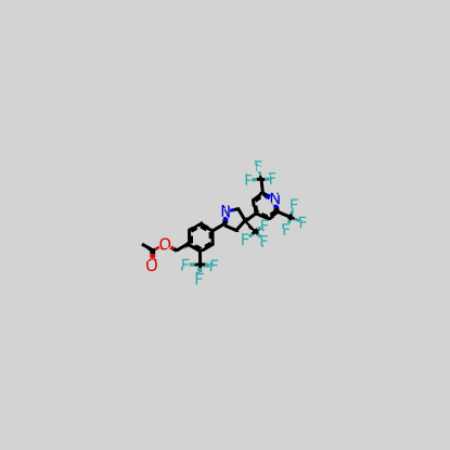 CC(=O)OCc1ccc(C2=NCC(c3cc(C(F)(F)F)nc(C(F)(F)F)c3)(C(F)(F)F)C2)cc1C(F)(F)F